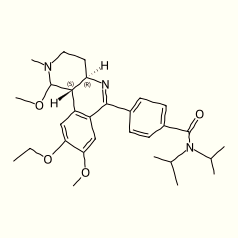 CCOc1cc2c(cc1OC)C(c1ccc(C(=O)N(C(C)C)C(C)C)cc1)=N[C@@H]1CCN(C)C(OC)[C@@H]21